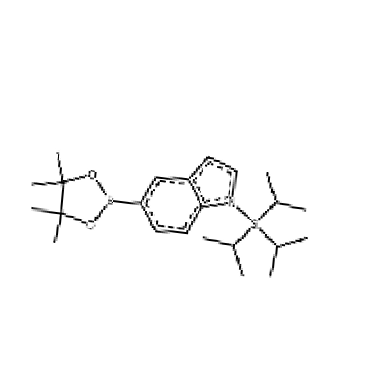 CC(C)[Si](C(C)C)(C(C)C)n1ccc2cc(B3OC(C)(C)C(C)(C)O3)ccc21